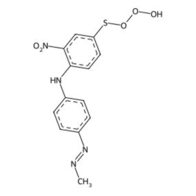 C/N=N/c1ccc(Nc2ccc(SOOO)cc2[N+](=O)[O-])cc1